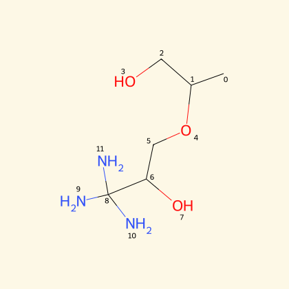 CC(CO)OCC(O)C(N)(N)N